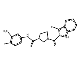 Cc1cc(NC(=O)[C@H]2CCN(C(=O)c3[nH]c4ccccc4c3Cl)C2)ccc1F